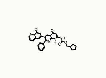 O=C(Nc1cc(=O)c2cc(-c3cc(Cl)c4ncccc4c3)c(-c3ccccc3)nc2[nH]1)OCC1CCCC1